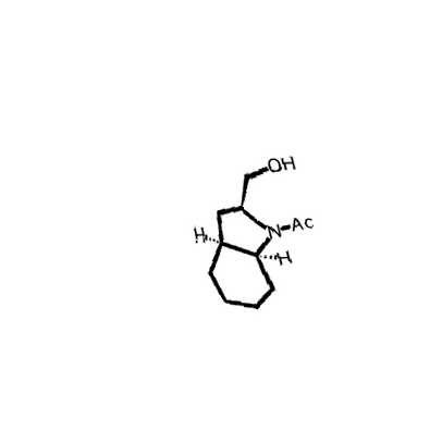 CC(=O)N1[C@H](CO)C[C@@H]2CCCC[C@@H]21